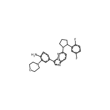 Nc1ccc(-c2cnc3ccc(N4CCCC4c4cc(F)ccc4F)nn23)cc1N1CCOCC1